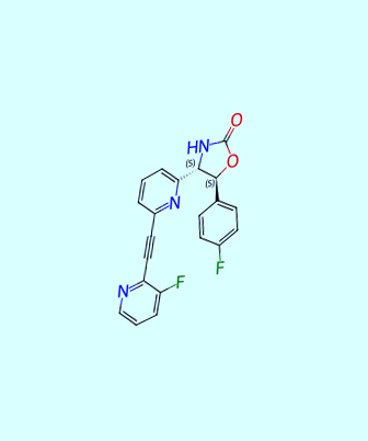 O=C1N[C@@H](c2cccc(C#Cc3ncccc3F)n2)[C@H](c2ccc(F)cc2)O1